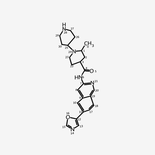 CC1CC(C(=O)Nc2cc3cc(-c4cnco4)ccc3cn2)CCN1C1CCNCC1